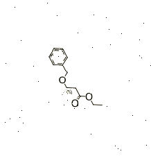 CCOC(=O)C[C@H](C)OCc1ccccc1